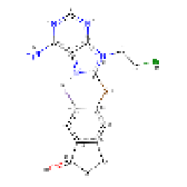 Nc1ncnc2c1nc(Sc1cc3c(cc1I)C(=O)CC3)n2CCBr